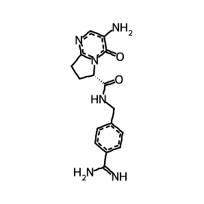 N=C(N)c1ccc(CNC(=O)[C@@H]2CCc3ncc(N)c(=O)n32)cc1